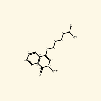 CCCCCCn1nc(OCCCC[C@@H](C)O)c2cnncc2c1=O